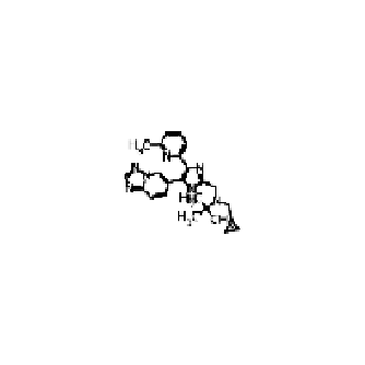 Cc1cccc(-c2nc(CN(CC3CC3)C(C)(C)C)[nH]c2-c2ccc3ncnn3c2)n1